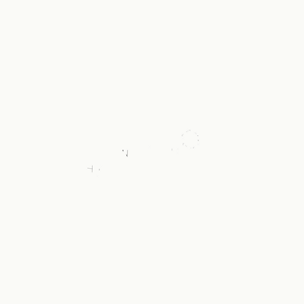 CC1CCN(CCCCCOc2ccccc2)CC1